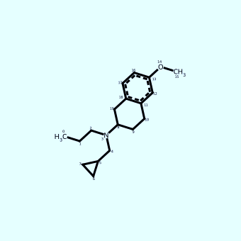 CCCN(CC1CC1)C1CCc2cc(OC)ccc2C1